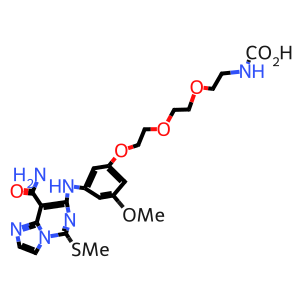 COc1cc(Nc2nc(SC)n3ccnc3c2C(N)=O)cc(OCCOCCOCCNC(=O)O)c1